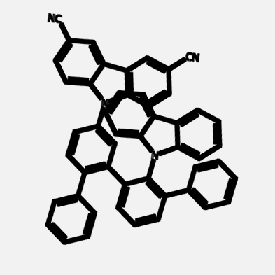 N#Cc1ccc2c(c1)c1cc(C#N)ccc1n2-c1ccc(-c2ccccc2)c(-c2cccc(-c3ccccc3)c2-n2c3ccccc3c3ccccc32)c1